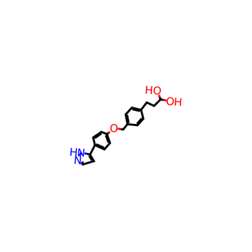 OC(O)CCc1ccc(COc2ccc(-c3ccn[nH]3)cc2)cc1